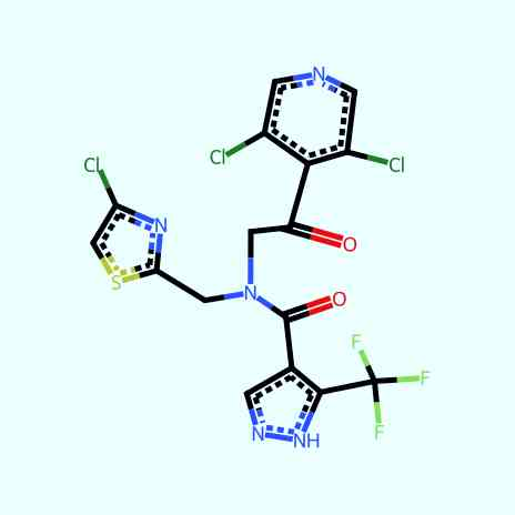 O=C(CN(Cc1nc(Cl)cs1)C(=O)c1cn[nH]c1C(F)(F)F)c1c(Cl)cncc1Cl